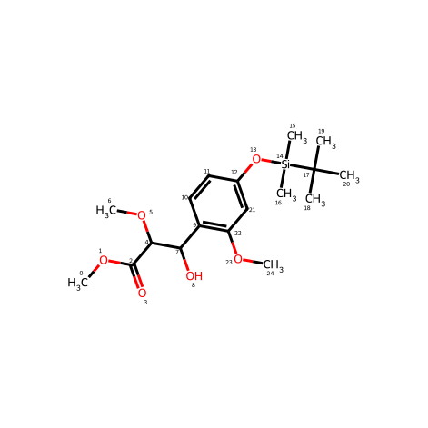 COC(=O)C(OC)C(O)c1ccc(O[Si](C)(C)C(C)(C)C)cc1OC